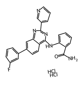 Cl.Cl.NC(=O)c1ccccc1Nc1nc(-c2cccnc2)nc2cc(-c3cccc(F)c3)ccc12